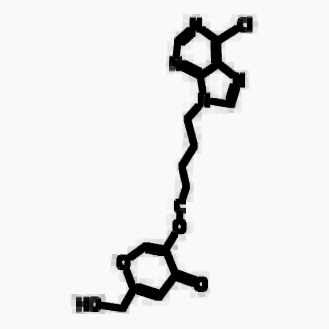 O=c1cc(CO)occ1OCCCCCn1cnc2c(Cl)ncnc21